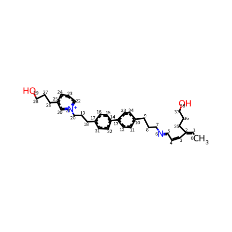 C\C=C(/C=C\C=N\CCCc1ccc(-c2ccc(CCC[n+]3cccc(CCCO)c3)cc2)cc1)CCCO